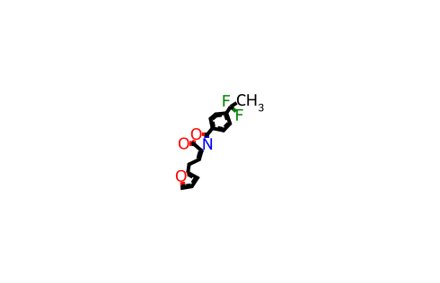 CC(F)(F)c1ccc(C2=N/C(=C/Cc3ccco3)C(=O)O2)cc1